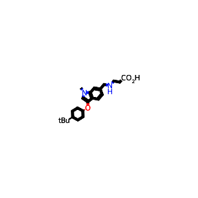 Cn1cc(O[C@H]2CC[C@H](C(C)(C)C)CC2)c2ccc(CNCCC(=O)O)cc21